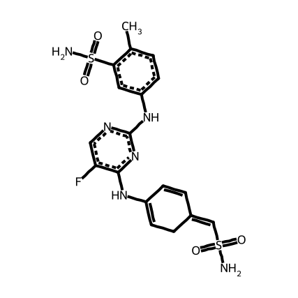 Cc1ccc(Nc2ncc(F)c(NC3=CCC(=CS(N)(=O)=O)C=C3)n2)cc1S(N)(=O)=O